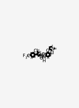 CN1CCC(Oc2cc(NS(=O)(=O)c3cc(-c4ccc(C(F)(F)F)cc4)c(Cl)s3)ccc2Cl)C1